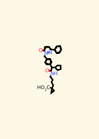 O=C(NCCCCC1(C(=O)O)CC1)C(c1ccc(Cn2nc(-c3ccccc3)ccc2=O)cc1)C1CCCC1